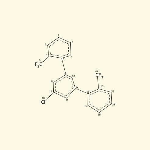 FC(F)(F)c1ccccc1-c1cc(Cl)cc(-c2ccccc2C(F)(F)F)c1